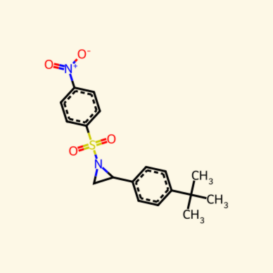 CC(C)(C)c1ccc(C2CN2S(=O)(=O)c2ccc([N+](=O)[O-])cc2)cc1